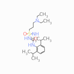 CCN(CC)CCCS(=N)(=O)NC(=O)Nc1c(C(C)C)cccc1C(C)C